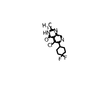 Cc1nc2cnc(C3CCC(F)(F)CC3)c(Cl)c2c(=O)[nH]1